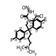 CN(C)CCCC(CN(CCCl)C(=O)NN=O)(c1ccc(F)cc1)c1ccc(F)cc1